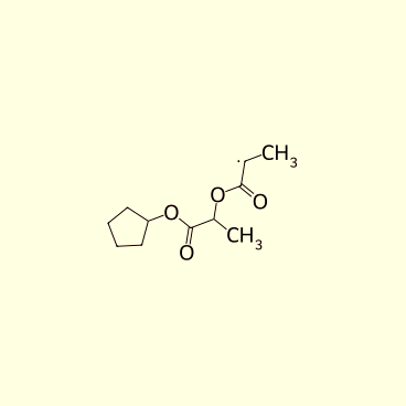 C[CH]C(=O)OC(C)C(=O)OC1CCCC1